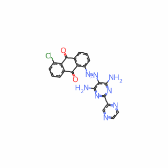 Nc1nc(-c2cnccn2)nc(N)c1/N=N/c1cccc2c1C(=O)c1cccc(Cl)c1C2=O